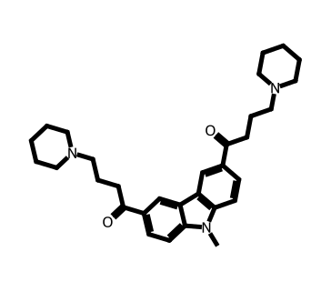 Cn1c2ccc(C(=O)CCCN3CCCCC3)cc2c2cc(C(=O)CCCN3CCCCC3)ccc21